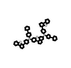 c1ccc(-c2ccc(N(c3ccc(-c4cccc5c4oc4ccccc45)cc3)c3ccc4c(c3)Oc3cc(N(c5ccc(-c6ccccc6)cc5)c5ccc(-c6cccc7c6oc6ccccc67)cc5)cc5cccc-4c35)cc2)cc1